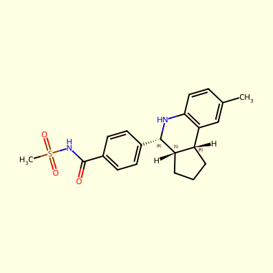 Cc1ccc2c(c1)[C@@H]1CCC[C@@H]1[C@H](c1ccc(C(=O)NS(C)(=O)=O)cc1)N2